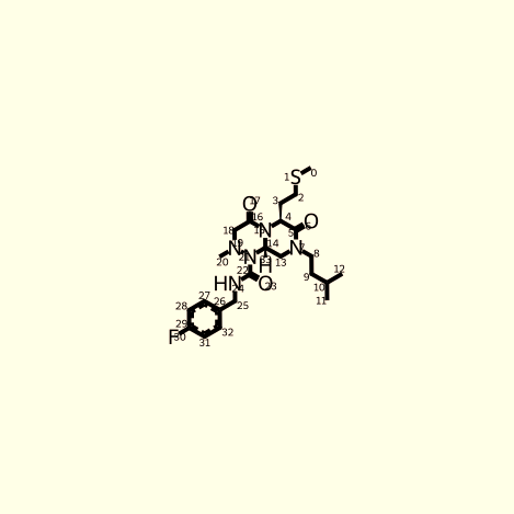 CSCC[C@H]1C(=O)N(CCC(C)C)C[C@H]2N1C(=O)CN(C)N2C(=O)NCc1ccc(F)cc1